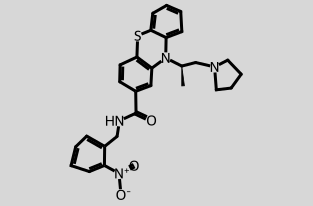 C[C@H](CN1CCCC1)N1c2ccccc2Sc2ccc(C(=O)NCc3ccccc3[N+](=O)[O-])cc21